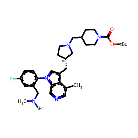 Cc1cncc2c1c(C[C@@H]1CCN(CC3CCN(C(=O)OC(C)(C)C)CC3)C1)cn2-c1ccc(F)cc1CN(C)C(C)C